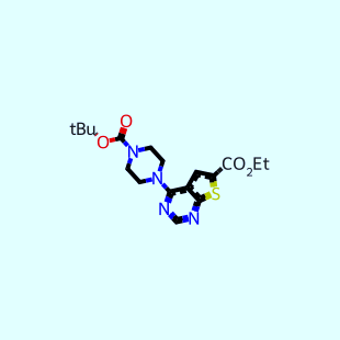 CCOC(=O)c1cc2c(N3CCN(C(=O)OC(C)(C)C)CC3)ncnc2s1